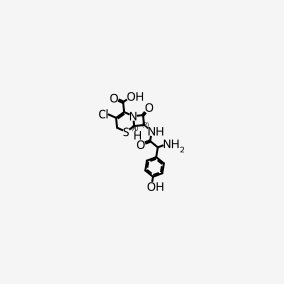 NC(C(=O)N[C@@H]1C(=O)N2C(C(=O)O)=C(Cl)CS[C@H]12)c1ccc(O)cc1